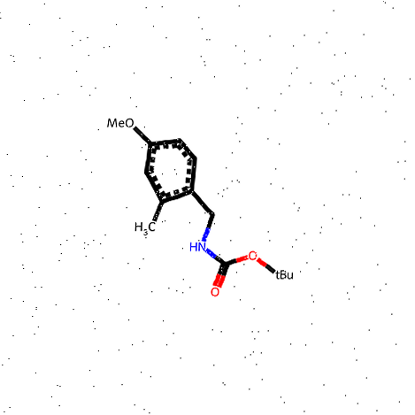 COc1ccc(CNC(=O)OC(C)(C)C)c(C)c1